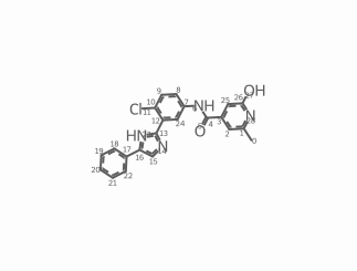 Cc1cc(C(=O)Nc2ccc(Cl)c(-c3ncc(-c4ccccc4)[nH]3)c2)cc(O)n1